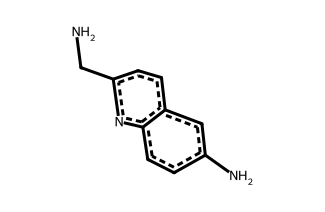 NCc1ccc2cc(N)ccc2n1